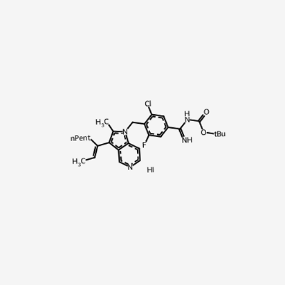 CC=C(CCCCC)c1c(C)n(Cc2c(F)cc(C(=N)NC(=O)OC(C)(C)C)cc2Cl)c2ccncc12.I